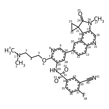 CN(C)CCCOc1ncc(-c2ccc3ncc4c(c3c2)C2(CC2)C(=O)N4C)cc1NS(=O)(=O)c1ccc(F)c(C#N)c1